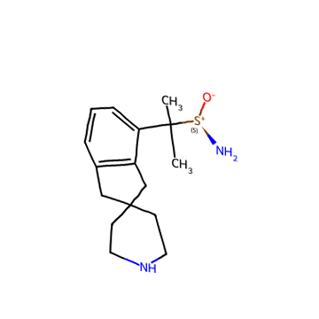 CC(C)(c1cccc2c1CC1(CCNCC1)C2)[S@+](N)[O-]